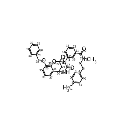 Cc1ccc(CCN(C)C(=O)c2cccc(N3C(=O)NC4CC3(C)Oc3c(OCc5ccccc5)cccc34)c2)cc1